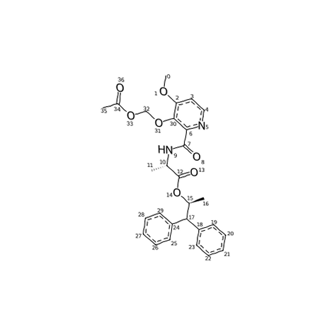 COc1ccnc(C(=O)N[C@@H](C)C(=O)O[C@@H](C)C(c2ccccc2)c2ccccc2)c1OCOC(C)=O